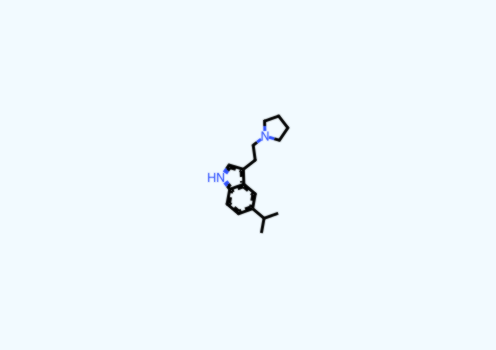 CC(C)c1ccc2[nH]cc(CCN3CCCC3)c2c1